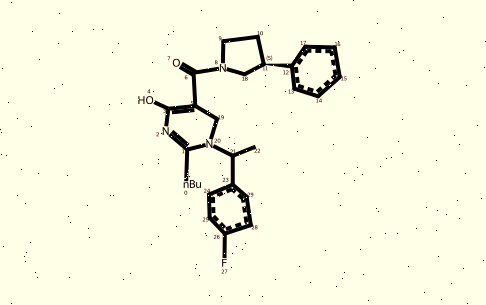 CCCCC1=NC(O)=C(C(=O)N2CC[C@@H](c3ccccc3)C2)CN1C(C)c1ccc(F)cc1